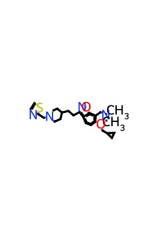 CN(C)Cc1c(OCC2CC2)ccc2c(CCC3CCN(Cc4nccs4)CC3)noc12